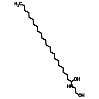 CCCCCCCCCCCCCCCCCCCCCCCC(O)NCCO